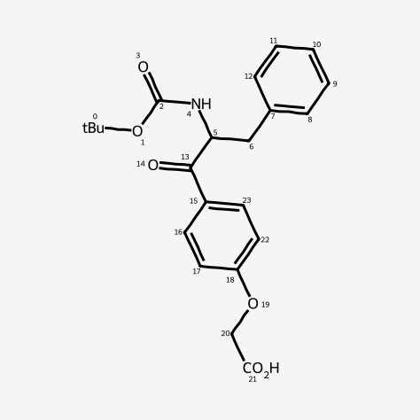 CC(C)(C)OC(=O)NC(Cc1ccccc1)C(=O)c1ccc(OCC(=O)O)cc1